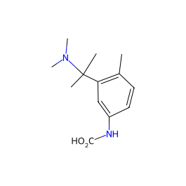 Cc1ccc(NC(=O)O)cc1C(C)(C)N(C)C